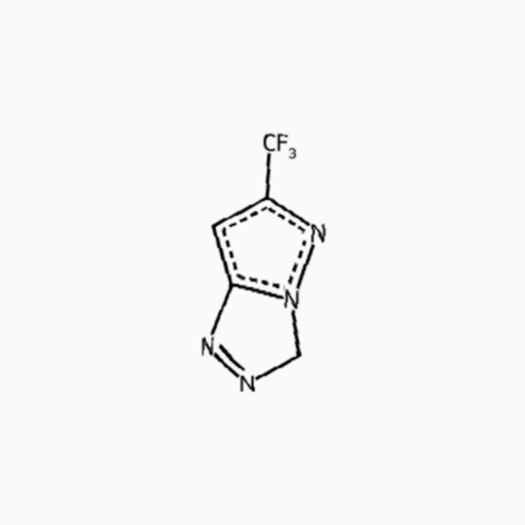 FC(F)(F)c1cc2n(n1)CN=N2